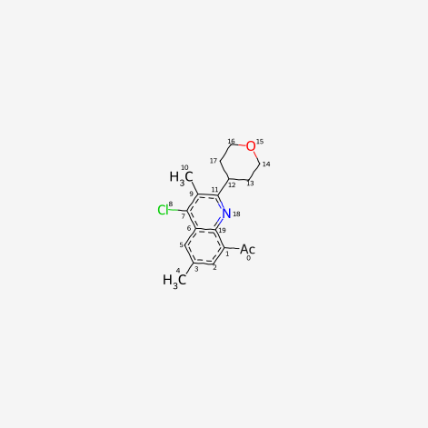 CC(=O)c1cc(C)cc2c(Cl)c(C)c(C3CCOCC3)nc12